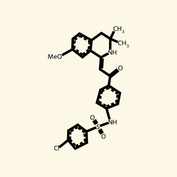 COc1ccc2c(c1)C(=CC(=O)c1ccc(NS(=O)(=O)c3ccc(Cl)cc3)cc1)NC(C)(C)C2